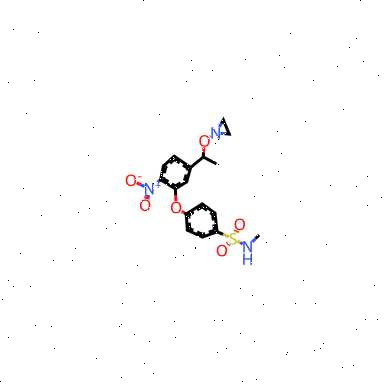 CNS(=O)(=O)c1ccc(Oc2cc(C(C)ON3CC3)ccc2[N+](=O)[O-])cc1